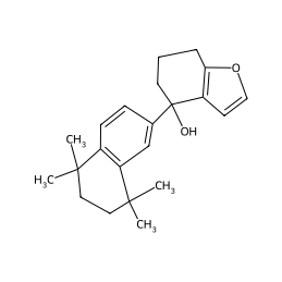 CC1(C)CCC(C)(C)c2cc(C3(O)CCCc4occc43)ccc21